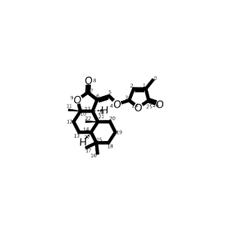 CC1=CC(O/C=C2/C(=O)O[C@@]3(C)CC[C@@H]4C(C)(C)CCC[C@@]4(C)[C@H]23)OC1=O